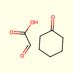 O=C1CCCCC1.O=CC(=O)O